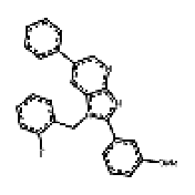 COc1cccc(-c2nc3ncc(-c4ccccc4)cc3n2Cc2ccccc2F)c1